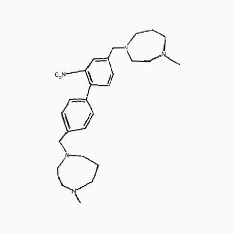 CN1CCCN(Cc2ccc(-c3ccc(CN4CCCN(C)CC4)cc3[N+](=O)[O-])cc2)CC1